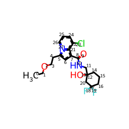 CCOCCc1cc(C(=O)NCC2(O)CCCC(F)(F)C2)c2c(Cl)cccn12